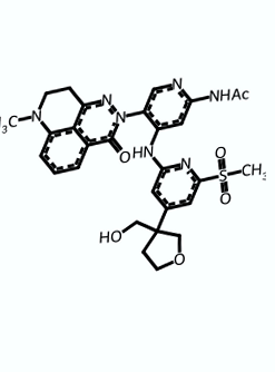 CC(=O)Nc1cc(Nc2cc(C3(CO)CCOC3)cc(S(C)(=O)=O)n2)c(-n2nc3c4c(cccc4c2=O)N(C)CC3)cn1